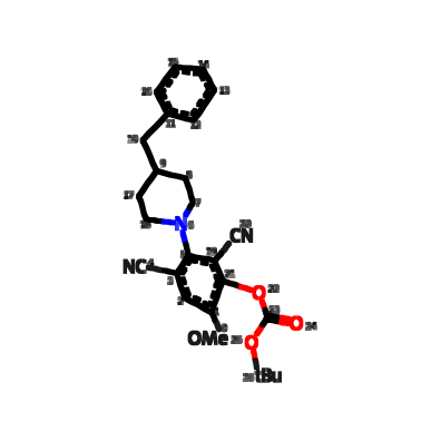 COc1cc(C#N)c(N2CCC(Cc3ccccc3)CC2)c(C#N)c1OC(=O)OC(C)(C)C